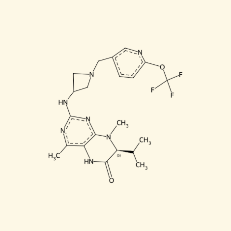 Cc1nc(NC2CN(Cc3ccc(OC(F)(F)F)nc3)C2)nc2c1NC(=O)[C@H](C(C)C)N2C